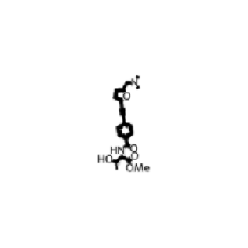 COC(=O)[C@@H](NC(=O)c1ccc(C#Cc2ccc(CN(C)C)o2)cc1)[C@@H](C)O